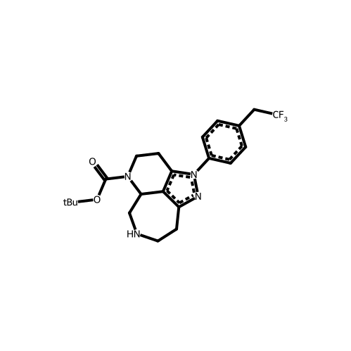 CC(C)(C)OC(=O)N1CCc2c3c(nn2-c2ccc(CC(F)(F)F)cc2)CCNCC31